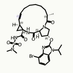 CC(C)n1c(O[C@@H]2C[C@H]3C(=O)N[C@]4(C(=O)NS(=O)(=O)N(C)C)C[C@H]4/C=C\CCCCC[C@H](C)C(=O)N3C2)nc2c(Br)cccc21